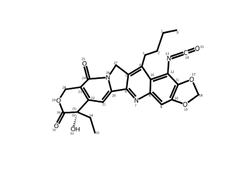 CCCCc1c2c(nc3cc4c(c(N=C=O)c13)OCO4)-c1cc3c(c(=O)n1C2)COC(=O)[C@]3(O)CC